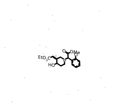 CCOC(=O)/C=C1/CN(C(C(=O)OC)c2ccccc2Cl)CCC1O